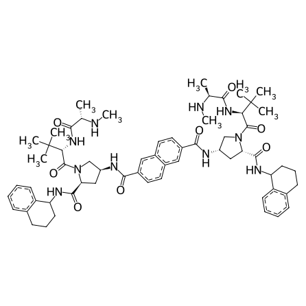 CN[C@@H](C)C(=O)N[C@H](C(=O)N1C[C@@H](NC(=O)c2ccc3cc(C(=O)N[C@H]4C[C@@H](C(=O)NC5CCCc6ccccc65)N(C(=O)[C@@H](NC(=O)[C@H](C)NC)C(C)(C)C)C4)ccc3c2)C[C@H]1C(=O)NC1CCCc2ccccc21)C(C)(C)C